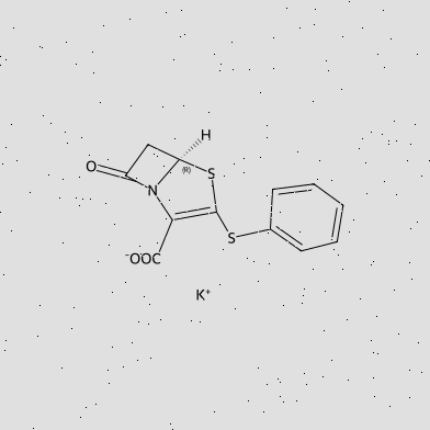 O=C([O-])C1=C(Sc2ccccc2)S[C@@H]2CC(=O)N12.[K+]